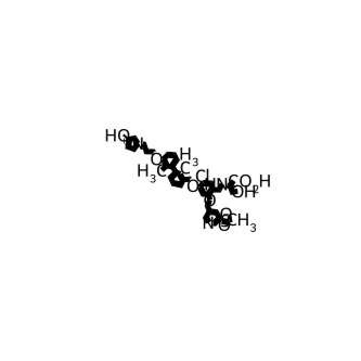 Cc1c(COc2cc(OCc3cncc(S(C)(=O)=O)c3)c(CNC(CO)C(=O)O)cc2Cl)cccc1-c1cccc(OCCCN2CC[C@@H](O)C2)c1C